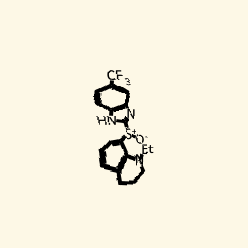 CCN1CCCc2cccc([S+]([O-])c3nc4cc(C(F)(F)F)ccc4[nH]3)c21